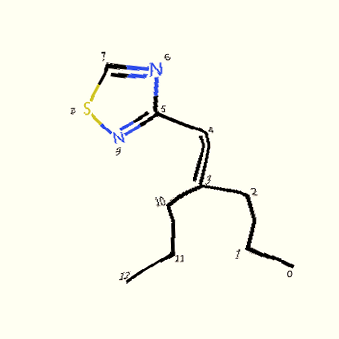 CCCC(=Cc1ncsn1)CCC